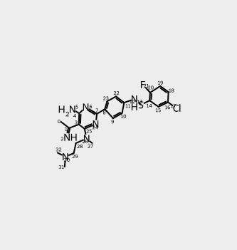 CC(=N)c1c(N)nc(-c2ccc(NSc3cc(Cl)ccc3F)cc2)nc1N(C)CCN(C)C